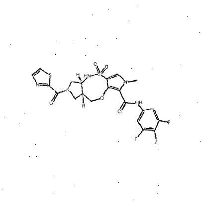 Cn1cc2c(c1C(=O)Nc1cc(F)c(F)c(F)c1)OC[C@@H]1CN(C(=O)c3nccs3)C[C@@H]1NS2(=O)=O